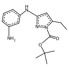 CCc1cc(Nc2cccc(N)c2)nn1C(=O)OC(C)(C)C